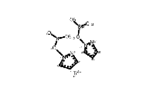 [O-]B([O-])On1cccn1.[O-]B([O-])On1cccn1.[Ti+4]